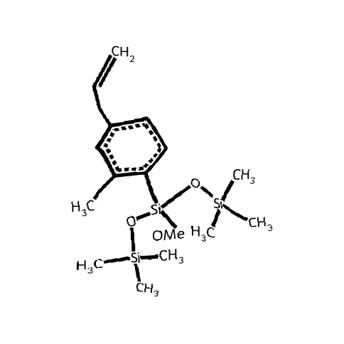 C=Cc1ccc([Si](OC)(O[Si](C)(C)C)O[Si](C)(C)C)c(C)c1